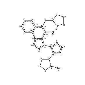 CC(=O)N1CCCC1c1cnnn1-c1ncn2c1c(=O)n(CC1CCCO1)c1ccccc12